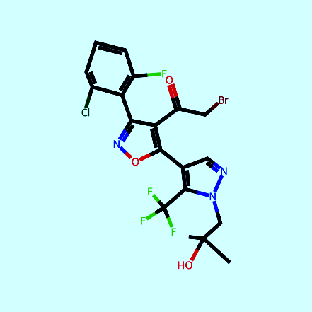 CC(C)(O)Cn1ncc(-c2onc(-c3c(F)cccc3Cl)c2C(=O)CBr)c1C(F)(F)F